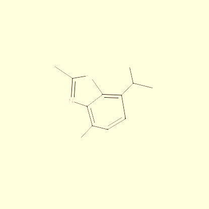 Cc1nc2c(F)ccc(C(C)C)c2o1